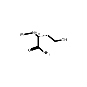 CC(C)N[C@H](CCO)C(N)=O